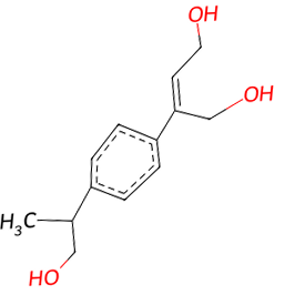 CC(CO)c1ccc(/C(=C/CO)CO)cc1